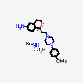 CC(C)(C)NC(=O)O.COc1ccc(N2CCN(CC[C@@H]3OCCc4cc(N)ccc43)CC2)cc1